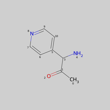 CC(=O)C(N)c1ccncc1